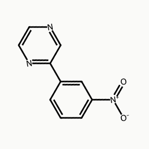 O=[N+]([O-])c1cccc(-c2cnccn2)c1